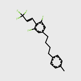 Cc1ccc(CCCCc2cc(F)c(C=CC(F)(F)F)c(F)c2)cc1